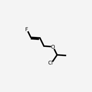 CC(Cl)OCC=CF